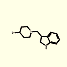 CCC1CCN(CC2CNc3ccccc32)CC1